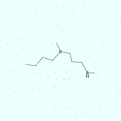 CBCCCB(C)CCCC